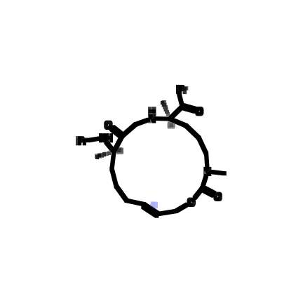 CC(C)N[C@]1(C)CCC/C=C/COC(=O)N(C)CCC[C@](C)(C(=O)C(C)C)NCC1=O